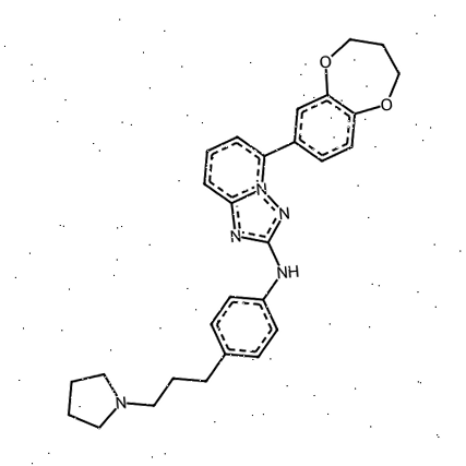 c1cc(-c2ccc3c(c2)OCCCO3)n2nc(Nc3ccc(CCCN4CCCC4)cc3)nc2c1